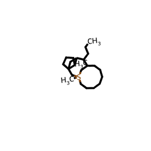 CCCC1C2CC3(CCCC23)CS2(C)CCCCCCCC1(C)C2